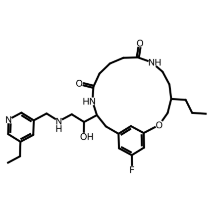 CCCC1CCNC(=O)CCCC(=O)NC(C(O)CNCc2cncc(CC)c2)Cc2cc(F)cc(c2)OC1